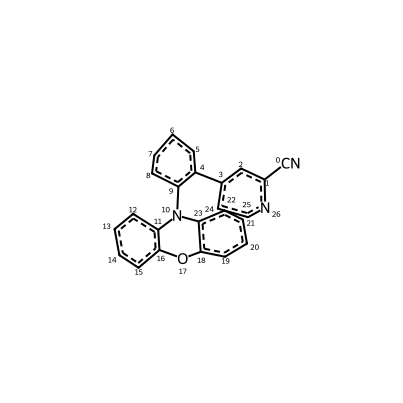 N#Cc1cc(-c2ccccc2N2c3ccccc3Oc3ccccc32)ccn1